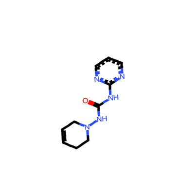 O=C(Nc1ncccn1)NN1CC=CCC1